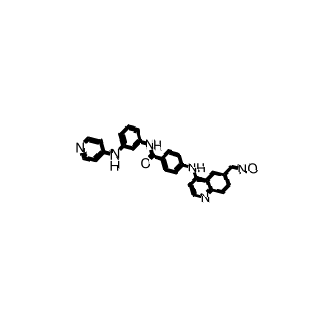 O=NCC1CCc2nccc(Nc3ccc(C(=O)Nc4cccc(Nc5ccncc5)c4)cc3)c2C1